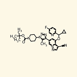 Cc1c(-c2cc(OC(c3ccc(F)cn3)C3CC3)c3c(C#N)cnn3c2)nnn1C1CCN(C(=O)OC(C)(C)C)CC1